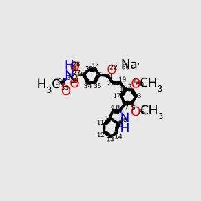 COc1cc(OC)c(-c2cc3ccccc3[nH]2)cc1C=CC(=O)c1ccc(S(=O)(=O)NC(C)=O)cc1.[Na]